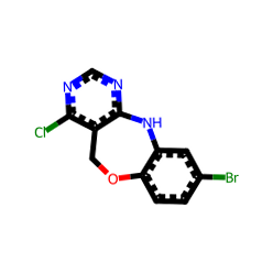 Clc1ncnc2c1COc1ccc(Br)cc1N2